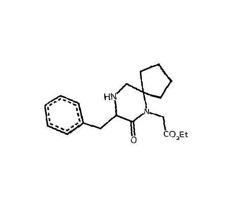 CCOC(=O)CN1C(=O)C(Cc2ccccc2)NCC12CCCC2